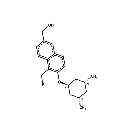 C[C@@H]1C[C@H](C)C[C@@H](Oc2ccc3cc(CO)ccc3c2CF)C1